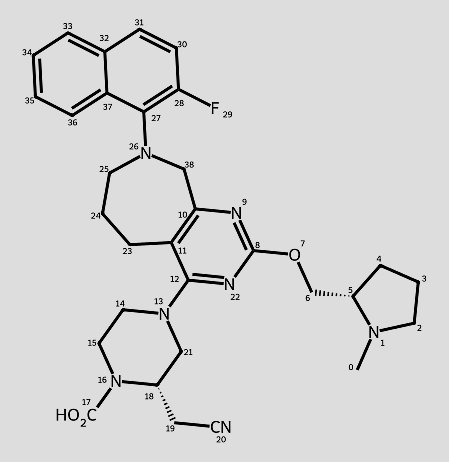 CN1CCC[C@H]1COc1nc2c(c(N3CCN(C(=O)O)[C@@H](CC#N)C3)n1)CCCN(c1c(F)ccc3ccccc13)C2